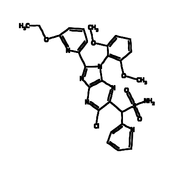 CCOc1cccc(-c2nc3nc(Cl)c(C(c4ccccn4)S(N)(=O)=O)nc3n2-c2c(OC)cccc2OC)n1